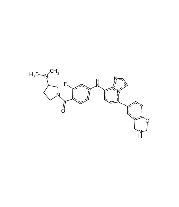 CN(C)C1CCN(C(=O)c2ccc(Nc3ccc(-c4ccc5c(c4)CNCO5)n4ccnc34)cc2F)C1